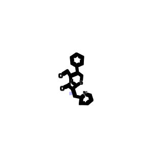 O=CC1=C(c2ccccc2)CSC2/C(=C\c3ccccn3)C(=O)N12